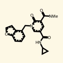 CNC(=O)c1cc(C(=O)NC2CC2)cn(Cc2cccc3occc23)c1=O